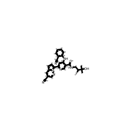 CC(C)(O)C(F)CNC(=O)c1cnc(-c2ccc3cc(C#N)cnn23)cc1Nc1ccccc1C#N